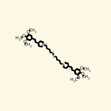 COc1cc(/C=C/c2cc[n+](CCCCSSCCCC[n+]3ccc(/C=C/c4cc(OC)c(OC)c(OC)c4)cc3)cc2)cc(OC)c1OC